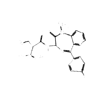 CCCC[C@H](OC(C)=O)[C@@H](CC(C)C)C(=O)NC1N=C(c2ccc(F)cc2)c2ccccc2N(C)C1=O